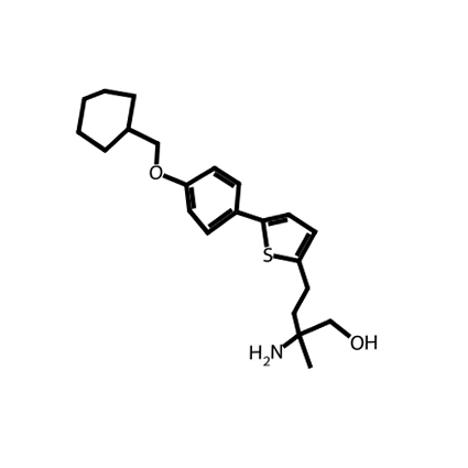 CC(N)(CO)CCc1ccc(-c2ccc(OCC3CCCCC3)cc2)s1